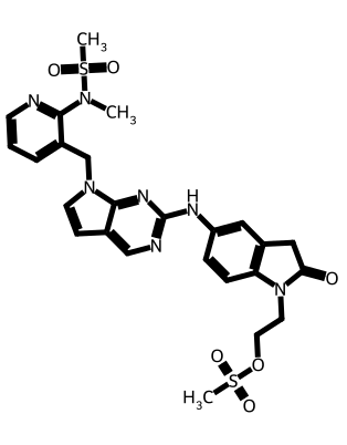 CN(c1ncccc1Cn1ccc2cnc(Nc3ccc4c(c3)CC(=O)N4CCOS(C)(=O)=O)nc21)S(C)(=O)=O